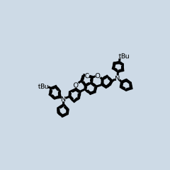 CC(C)(C)c1ccc(N(c2ccccc2)c2ccc3c(c2)Oc2ccc4c5c(ccc-3c25)-c2ccc(N(c3ccccc3)c3ccc(C(C)(C)C)cc3)cc2O4)cc1